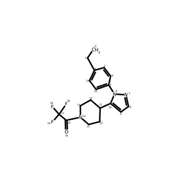 CCc1ccc(-n2nccc2C2CCN(C(=O)C(F)(F)F)CC2)cc1